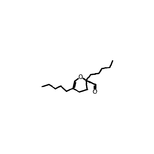 CCCCCC1=COC(C=O)(CCCCC)CC1